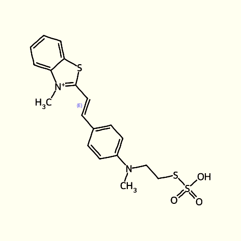 CN(CCSS(=O)(=O)O)c1ccc(/C=C/c2sc3ccccc3[n+]2C)cc1